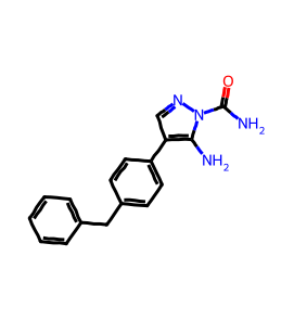 NC(=O)n1ncc(-c2ccc(Cc3ccccc3)cc2)c1N